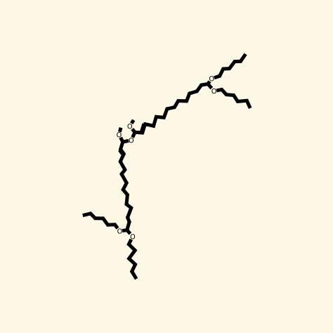 CCCCCCOC(CCCCCCCCCCC=CC(OC)OC(C=CCCCCCCCCCCC(OCCCCCC)OCCCCCC)OC)OCCCCCC